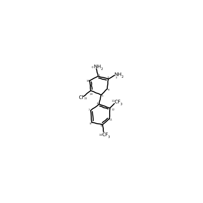 NC1=C(N)CC(c2ccc(C(F)(F)F)cc2C(F)(F)F)C(Cl)=C1